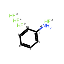 F.F.F.F.Nc1ccccc1